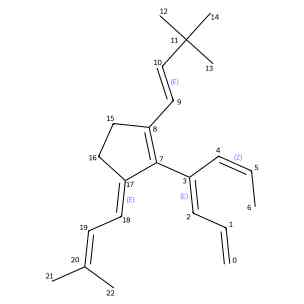 C=C/C=C(\C=C/C)C1=C(/C=C/C(C)(C)C)CC/C1=C\C=C(C)C